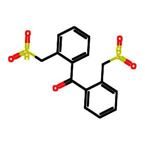 O=C(c1ccccc1C[SH](=O)=O)c1ccccc1C[SH](=O)=O